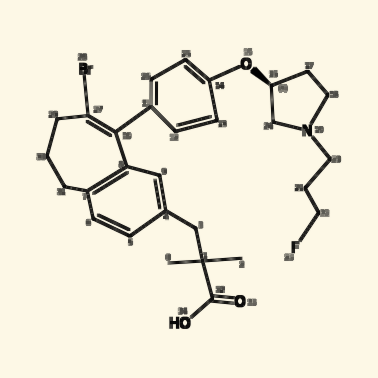 CC(C)(Cc1ccc2c(c1)C(c1ccc(O[C@H]3CCN(CCCF)C3)cc1)=C(Br)CCC2)C(=O)O